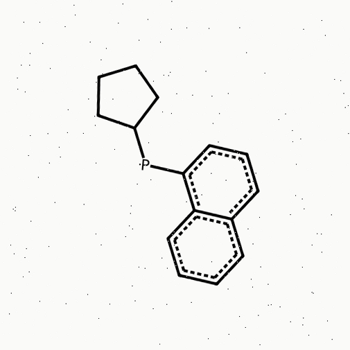 c1ccc2c([P]C3CCCC3)cccc2c1